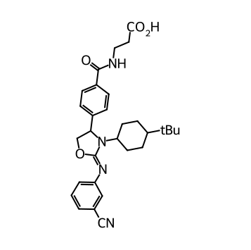 CC(C)(C)C1CCC(N2C(=Nc3cccc(C#N)c3)OCC2c2ccc(C(=O)NCCC(=O)O)cc2)CC1